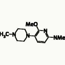 CNc1ccc(N2CCN(C)CC2)c(OC)n1